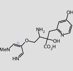 CN/C=C(\C=N)OCC(N)C(O)(Cc1cc(O)ccn1)C(=O)O